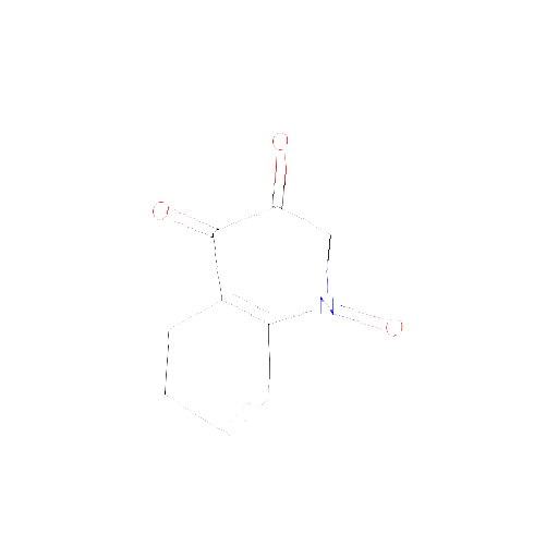 O=C1C[N+](=O)C2=C(CCC=C2)C1=O